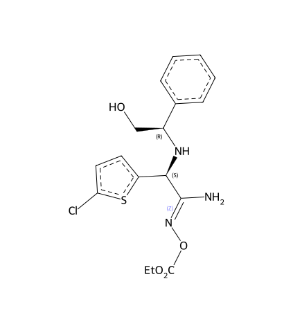 CCOC(=O)O/N=C(\N)[C@H](N[C@@H](CO)c1ccccc1)c1ccc(Cl)s1